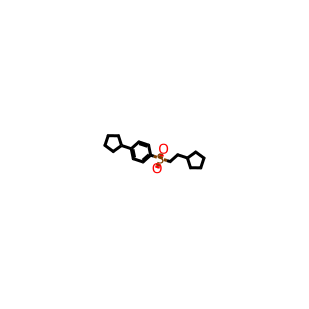 O=S(=O)(CCC1CCCC1)c1ccc(C2CCCC2)cc1